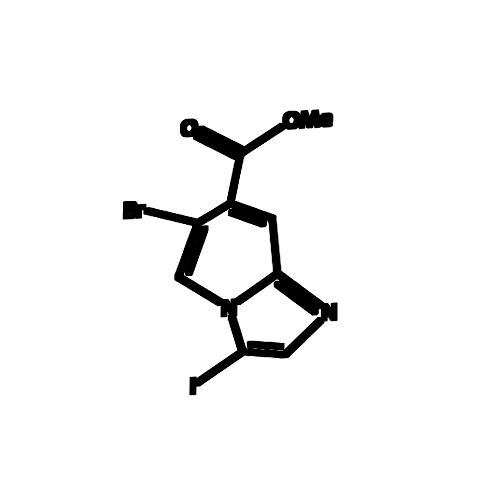 COC(=O)c1cc2ncc(I)n2cc1Br